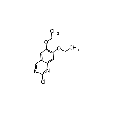 CCOc1cc2cnc(Cl)nc2cc1OCC